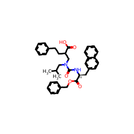 CC(C)CN(CC(CCc1ccccc1)C(=O)O)C(=O)N[C@@H](Cc1ccc2ccccc2c1)C(=O)OCc1ccccc1